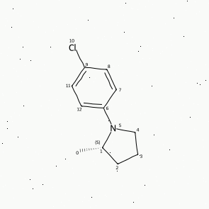 C[C@H]1CCCN1c1ccc(Cl)cc1